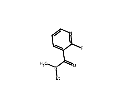 CCN(C)C(=O)c1cccnc1F